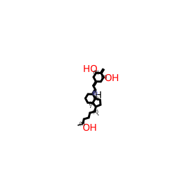 C=C1[C@H](O)CC(=C/C=C2\CCC[C@]3(C)C([C@H](C)CCC[C@H](C)O)CC[C@@H]23)C[C@H]1O